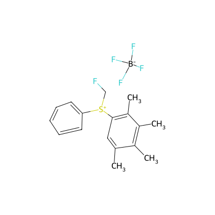 Cc1cc([S+](CF)c2ccccc2)c(C)c(C)c1C.F[B-](F)(F)F